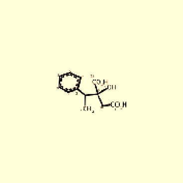 CC(c1ccccc1)C(O)(CC(=O)O)C(=O)O